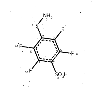 NSc1c(F)c(F)c(S(=O)(=O)O)c(F)c1F